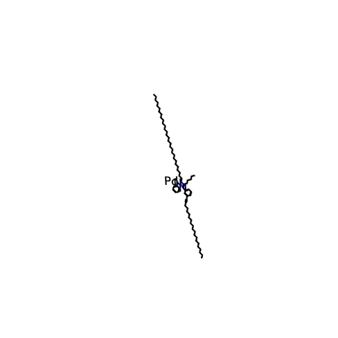 CCCCCCCCCCCCCCCCCCCC#Cc1cccc(/N=C(CCCCC)/C(CCCCCCCCCCCCCCCCCCCCCCCCCCCCCC)=N\c2ccccc2)c1.[Pd]